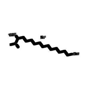 CCCCCCCCCCCCCCCCCCCCCCC(C(=O)[O-])N(C)C.[Na+]